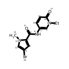 CCn1cc(NC(=O)c2cc(Br)cn2C)ccc1=O